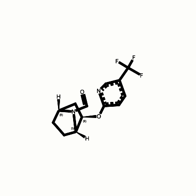 O=CN1[C@@H]2CC[C@H]1[C@H](Oc1ccc(C(F)(F)F)cn1)C2